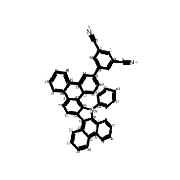 N#Cc1cc(C#N)cc(-c2ccc3c(c2)c2ccccc2c2ccc4c5c6ccccc6c6ccccc6c5n(-c5ccccc5)c4c23)c1